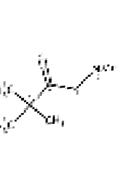 CNCC(=O)C(C)(C)C